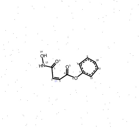 O=C(/C=C\C(=O)Oc1ccccc1)NO